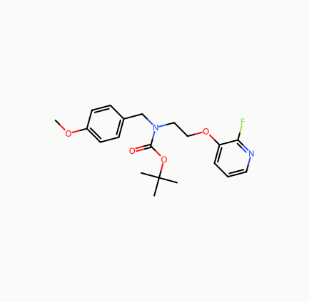 COc1ccc(CN(CCOc2cccnc2F)C(=O)OC(C)(C)C)cc1